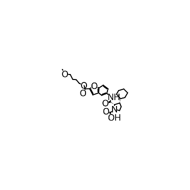 COCCCCOC(=O)c1cc2cc(NC(=O)[C@@H]3[C@H](C4CCCCC4)CCN3C(=O)O)ccc2o1